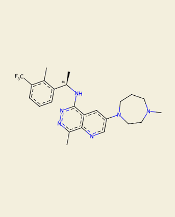 Cc1c([C@@H](C)Nc2nnc(C)c3ncc(N4CCCN(C)CC4)cc23)cccc1C(F)(F)F